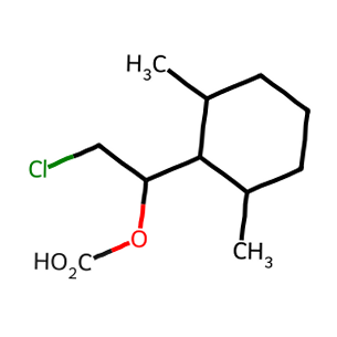 CC1CCCC(C)C1C(CCl)OC(=O)O